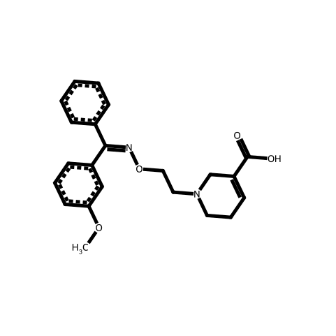 COc1cccc(/C(=N\OCCN2CCC=C(C(=O)O)C2)c2ccccc2)c1